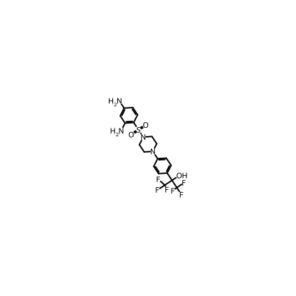 Nc1ccc(S(=O)(=O)N2CCN(c3ccc(C(O)(C(F)(F)F)C(F)(F)F)cc3)CC2)c(N)c1